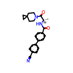 C[C@H](NC(=O)c1ccc(-c2ccc(C#N)cc2)cc1)C(=O)N1CCC2(CC1)CC2